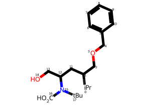 CC(C)C(COCc1ccccc1)CC(CO)N(C(=O)O)C(C)(C)C